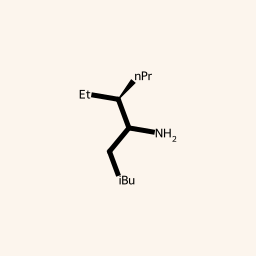 CCC[C@H](CC)C(N)CC(C)CC